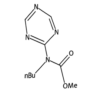 CCCCN(C(=O)OC)c1ncncn1